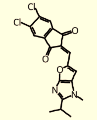 CC(C)c1nc2oc(C=C3C(=O)c4cc(Cl)c(Cl)cc4C3=O)cc2n1C